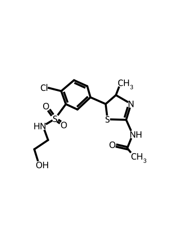 CC(=O)NC1=NC(C)C(c2ccc(Cl)c(S(=O)(=O)NCCO)c2)S1